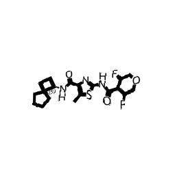 Cc1sc(NC(=O)C2C(F)COCC2F)nc1C(=O)N[C@H]1CCC12CCCC2